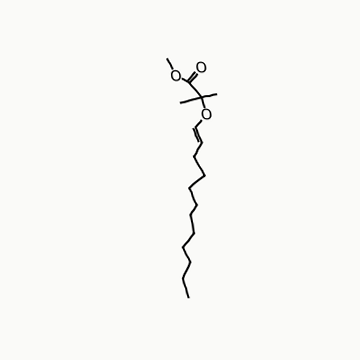 CCCCCCCCCCC=COC(C)(C)C(=O)OC